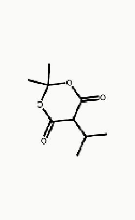 CC(C)C1C(=O)OC(C)(C)OC1=O